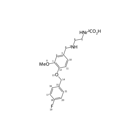 COc1cc(CNCCNC(=O)O)ccc1OCc1ccc(F)cc1